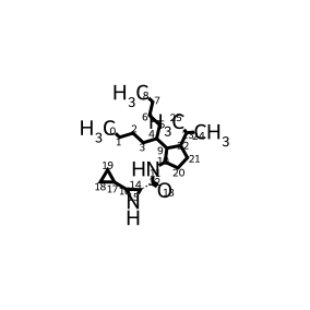 CCCCC(CCCC)C1C(NC(=O)[C@@H]2NC2C2CC2)CCC1C(C)C